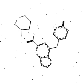 O=C(N[C@H]1CCOC[C@@H]1O)c1cc(Cc2ccc(=O)[nH]c2)c2occc2n1